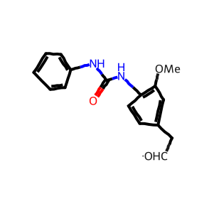 COc1cc(C[C]=O)ccc1NC(=O)Nc1ccccc1